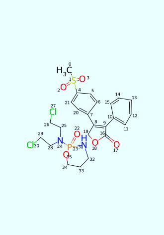 CS(=O)(=O)c1ccc(C2=C(c3ccccc3)C(=O)OC2)cc1.O=P1(N(CCCl)CCCl)NCCCO1